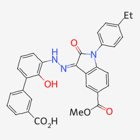 CCc1ccc(N2C(=O)/C(=N\Nc3cccc(-c4cccc(C(=O)O)c4)c3O)c3cc(C(=O)OC)ccc32)cc1